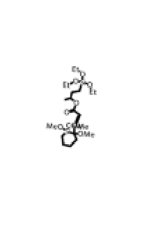 C=CC(=O)OC(C)CC[Si](OCC)(OCC)OCC.COC1(OC)CCCC[Si]1(OC)OC